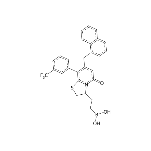 O=c1cc(Cc2cccc3ccccc23)c(-c2cccc(C(F)(F)F)c2)c2n1C(CCB(O)O)CS2